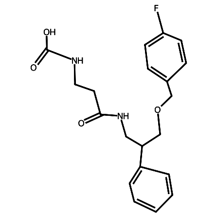 O=C(O)NCCC(=O)NCC(COCc1ccc(F)cc1)c1ccccc1